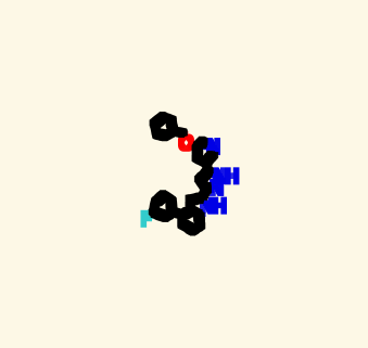 Fc1cccc(-c2cccc3[nH]c(-c4cc(-c5cncc(OCc6ccccc6)c5)[nH]n4)cc23)c1